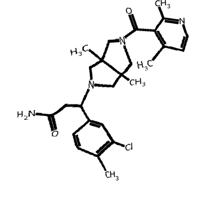 Cc1ccc(C(CC(N)=O)N2CC3(C)CN(C(=O)c4c(C)ccnc4C)CC3(C)C2)cc1Cl